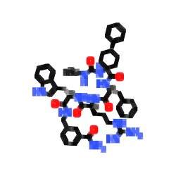 CCCCNC(=O)N[C@]1(C(=O)N[C@H](Cc2ccccc2)C(=O)N[C@@H](CCCNC(=N)N)C(=O)N[C@@H](Cc2c[nH]c3ccccc23)C(=O)NCc2cccc(C(N)=O)c2)CC[C@H](c2ccccc2)CC1